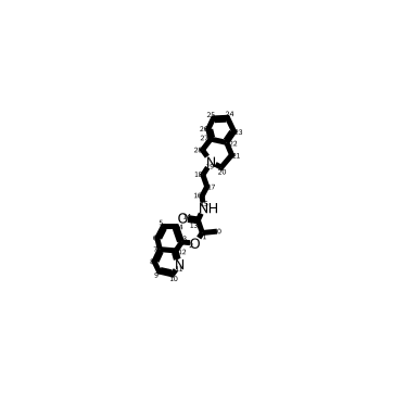 CC(Oc1cccc2cccnc12)C(=O)NCCCN1CCc2ccccc2C1